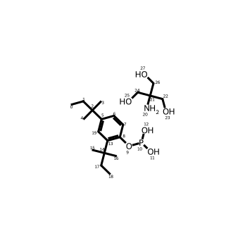 CCC(C)(C)c1ccc(OP(O)O)c(C(C)(C)CC)c1.NC(CO)(CO)CO